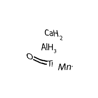 [AlH3].[CaH2].[Mn].[O]=[Ti]